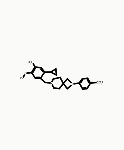 Cc1cc(C2CC2)c(CN2CCC3(CC2)CN(c2ccc(C(=O)O)cc2)C3)cc1OC(C)C